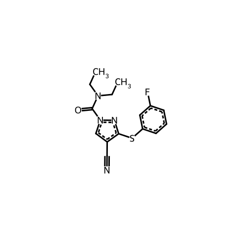 CCN(CC)C(=O)n1cc(C#N)c(Sc2cccc(F)c2)n1